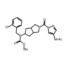 CC(=O)Nc1cnn(C(=O)N2CC3CC(N(Cc4ccccc4Cl)C(=O)OC(C)(C)C)CC3C2)c1